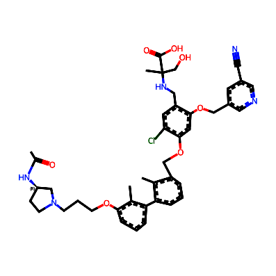 CC(=O)N[C@@H]1CCN(CCCOc2cccc(-c3cccc(COc4cc(OCc5cncc(C#N)c5)c(CNC(C)(CO)C(=O)O)cc4Cl)c3C)c2C)C1